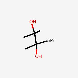 CCCC(C)(O)C(C)(C)O